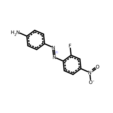 Nc1ccc(/N=N/c2ccc([N+](=O)[O-])cc2F)cc1